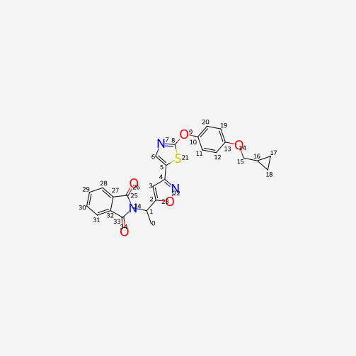 CC(c1cc(-c2cnc(Oc3ccc(OCC4CC4)cc3)s2)no1)N1C(=O)c2ccccc2C1=O